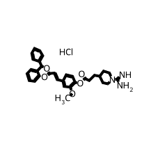 COc1cc(C=CC(=O)OC(c2ccccc2)c2ccccc2)ccc1OC(=O)CCC1CCN(C(=N)N)CC1.Cl